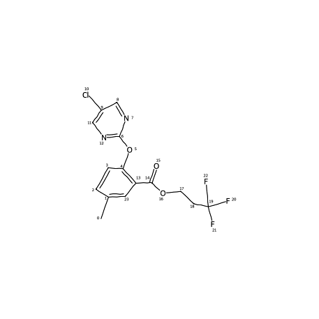 Cc1ccc(Oc2ncc(Cl)cn2)c(C(=O)OCCC(F)(F)F)c1